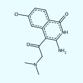 CN(C)CC(=O)c1c(N)[nH]c(=O)c2ccc(Cl)cc12